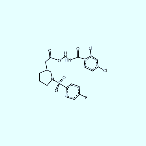 O=C(CC1CCCN(S(=O)(=O)c2ccc(F)cc2)C1)ONNC(=O)c1ccc(Cl)cc1Cl